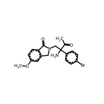 COc1ccc2c(c1)CN(CC(N)(C(C)=O)c1ccc(Br)cc1)C2=O